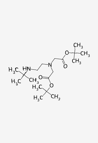 CC(C)(C)NCCN(CC(=O)OC(C)(C)C)CC(=O)OC(C)(C)C